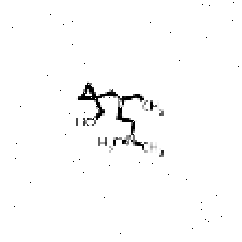 CCN(CCN(C)C)CC1(CO)CC1